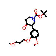 COCCCOc1cc(C2CN(C(=O)OC(C)(C)C)CCC2=O)ccc1OC